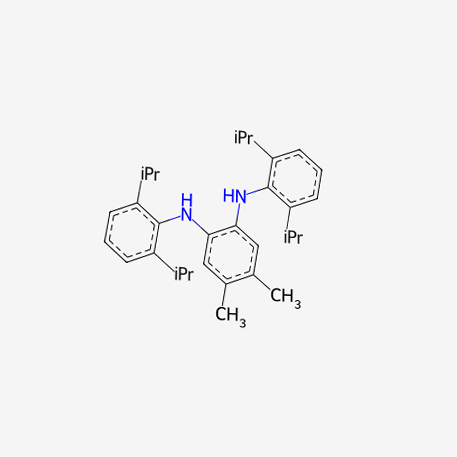 Cc1cc(Nc2c(C(C)C)cccc2C(C)C)c(Nc2c(C(C)C)cccc2C(C)C)cc1C